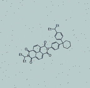 CCC(CC)c1ccc(C2(c3ccc(N4C(=O)c5ccc6c7c(ccc(c57)C4=O)C(=O)N(C(CC)CC)C6=O)cc3)CCCCC2)cc1